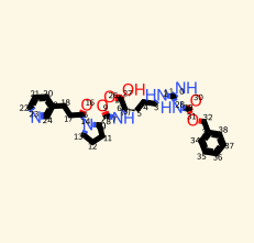 N=C(NCCC[C@H](NC(=O)[C@@H]1CCCN1C(=O)CCc1cccnc1)C(=O)O)NC(=O)OCc1ccccc1